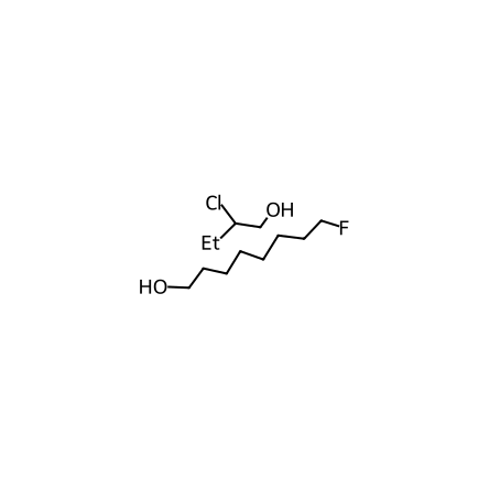 CCC(Cl)CO.OCCCCCCCCF